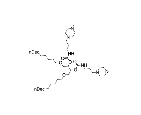 CCCCCCCCCCCCCCCOCC(OC(=O)NCCCN1CCN(C)CC1)C(COCCCCCCCCCCCCCCC)OC(=O)NCCCN1CCN(C)CC1